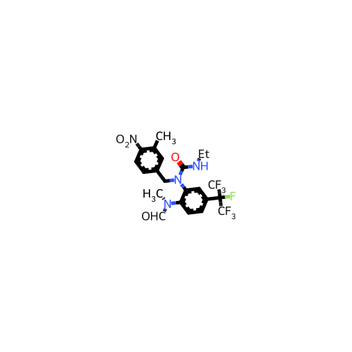 CCNC(=O)N(Cc1ccc([N+](=O)[O-])c(C)c1)c1cc(C(F)(C(F)(F)F)C(F)(F)F)ccc1N(C)C=O